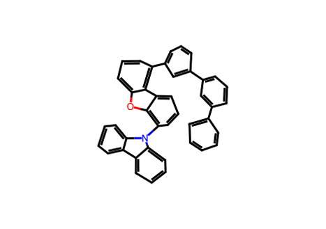 c1ccc(-c2cccc(-c3cccc(-c4cccc5oc6c(-n7c8ccccc8c8ccccc87)cccc6c45)c3)c2)cc1